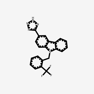 FC(F)(F)c1ccccc1Cn1c2ccccc2c2cc(-c3nn[nH]n3)ccc21